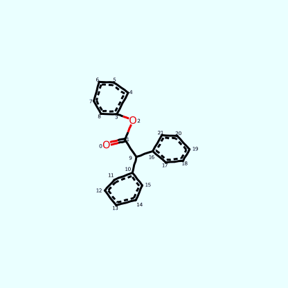 O=C(Oc1ccccc1)C(c1ccccc1)c1ccccc1